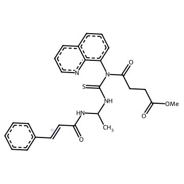 COC(=O)CCC(=O)N(C(=S)NC(C)NC(=O)/C=C/c1ccccc1)c1cccc2cccnc12